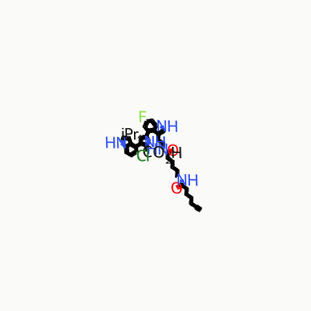 C#CCCCCC(=O)NCCCCCC(=O)NCCc1c[nH]c2cc(F)cc(-c3[nH]c(C(=O)O)c(-c4c(Cl)ccc5[nH]ccc45)c3C(C)C)c12